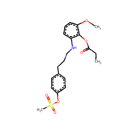 CCC(=O)Oc1c(NCCCc2ccc(OS(C)(=O)=O)cc2)cccc1OC